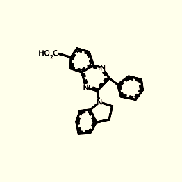 O=C(O)c1ccc2nc(-c3ccccc3)c(N3CCc4ccccc43)nc2c1